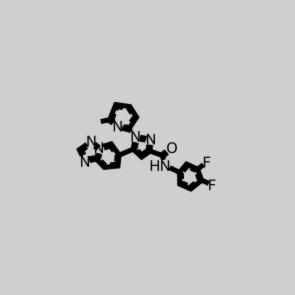 Cc1cccc(-n2nc(C(=O)Nc3ccc(F)c(F)c3)cc2-c2ccc3ncnn3c2)n1